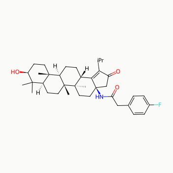 CC(C)C1=C2[C@H]3CC[C@@H]4[C@@]5(C)CC[C@H](O)C(C)(C)[C@@H]5CC[C@@]4(C)[C@]3(C)CC[C@@]2(NC(=O)Cc2ccc(F)cc2)CC1=O